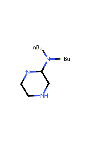 CCCCN(CCCC)C1CNCC[N]1